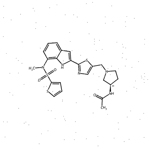 CC(=O)N[C@@H]1CCN(Cc2cnc(-c3cc4cccc(N(C)S(=O)(=O)c5cccs5)c4[nH]3)s2)C1